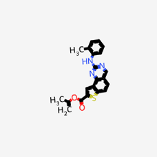 C=C(C)OC(=O)c1cc2c(ccc3cnc(Nc4ccccc4C)nc32)s1